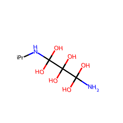 CC(C)NC(O)(O)C(O)(O)C(N)(O)O